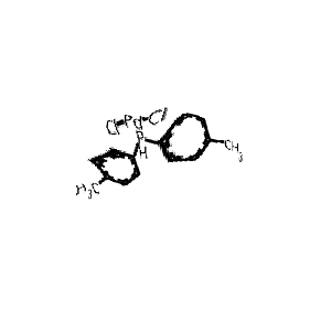 Cc1ccc(Pc2ccc(C)cc2)cc1.[Cl][Pd][Cl]